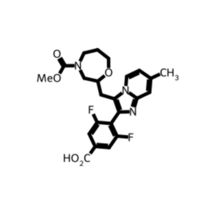 COC(=O)N1CCCOC(Cc2c(-c3c(F)cc(C(=O)O)cc3F)nc3cc(C)ccn23)C1